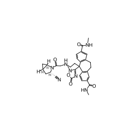 CNC(=O)c1ccc2c(c1)CCc1cc(C(=O)NC)ccc1C2(CCNCC(=O)N1[C@H](C#N)C[C@@H]2C[C@@H]21)c1nc(=O)on1C